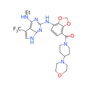 CCNc1nc(Nc2ccc(C(=O)N3CCC(N4CCOCC4)CC3)c3c2OCO3)nc2[nH]cc(C(F)(F)F)c12